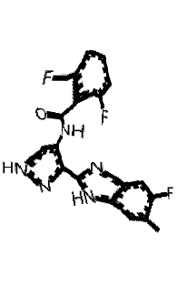 Cc1cc2[nH]c(-c3n[nH]cc3NC(=O)c3c(F)cccc3F)nc2cc1F